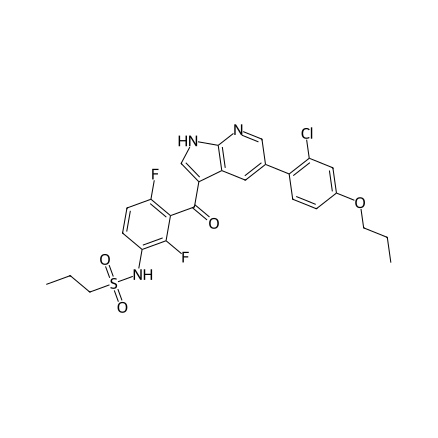 CCCOc1ccc(-c2cnc3[nH]cc(C(=O)c4c(F)ccc(NS(=O)(=O)CCC)c4F)c3c2)c(Cl)c1